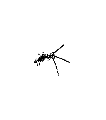 CCCCCCCCCCCCCCCCCCOc1cc(C(=O)OCC(=O)O[C@@]2(O)[C@@H](CO)O[C@@H](n3ccc(NC(=O)c4ccccc4)nc3=O)[C@@H]2OC)cc(OCCCCCCCCCCCCCCCCCC)c1OCCCCCCCCCCCCCCCCCC